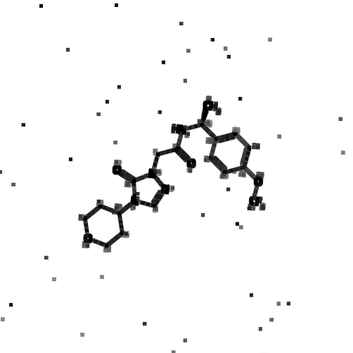 C[C@H](NC(=O)Cn1ncn(C2CCOCC2)c1=O)c1ccc(OC(F)(F)F)cc1